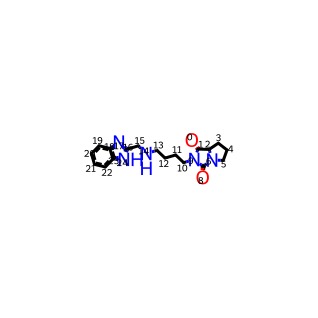 O=C1C2CCCN2C(=O)N1CCCCNCc1nc2ccccc2[nH]1